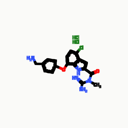 CN(C(=N)N)C(=O)c1cc2c(Cl)ccc(Oc3ccc(CN)cc3)c2[nH]1.Cl.Cl